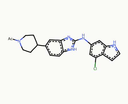 CC(=O)N1CCC(c2ccc3[nH]c(Nc4cc(Cl)c5cc[nH]c5c4)nc3c2)CC1